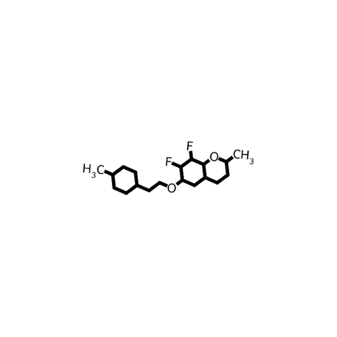 CC1CCC(CCOC2CC3CCC(C)OC3C(F)C2F)CC1